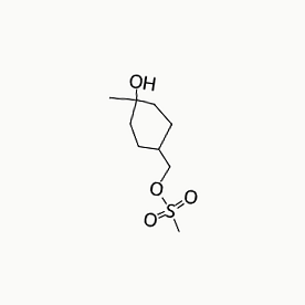 CC1(O)CCC(COS(C)(=O)=O)CC1